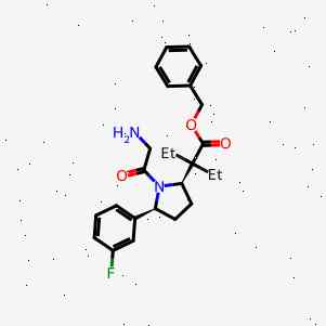 CCC(CC)(C(=O)OCc1ccccc1)[C@H]1CC[C@@H](c2cccc(F)c2)N1C(=O)CN